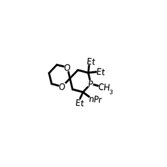 CCCC1(CC)CC2(CC(CC)(CC)P1C)OCCCO2